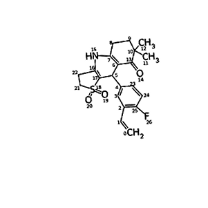 C=Cc1cc(C2C3=C(CCC(C)(C)C3=O)NC3=C2S(=O)(=O)CC3)ccc1F